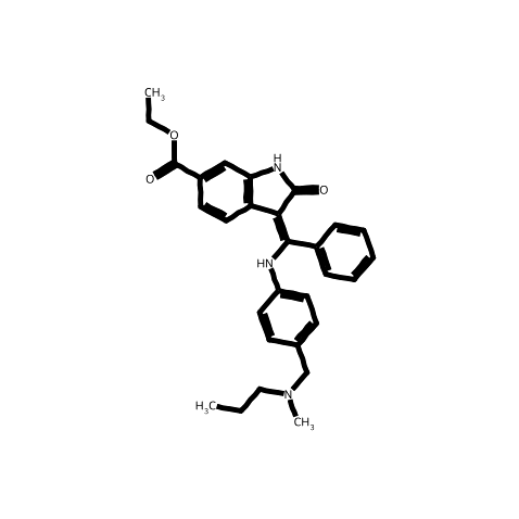 CCCN(C)Cc1ccc(NC(=C2C(=O)Nc3cc(C(=O)OCC)ccc32)c2ccccc2)cc1